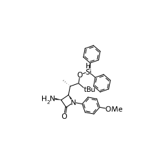 COc1ccc(N2C(=O)[C@@H](N)[C@H]2[C@H](C)C(O[SiH](c2ccccc2)c2ccccc2)C(C)(C)C)cc1